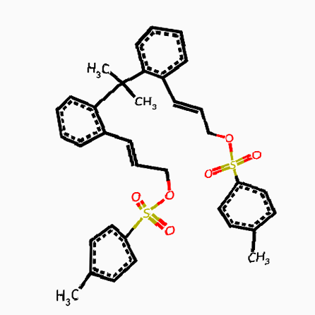 Cc1ccc(S(=O)(=O)OCC=Cc2ccccc2C(C)(C)c2ccccc2C=CCOS(=O)(=O)c2ccc(C)cc2)cc1